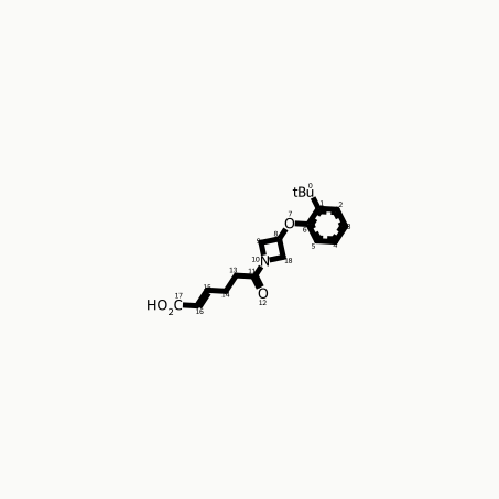 CC(C)(C)c1ccccc1OC1CN(C(=O)CCC=CC(=O)O)C1